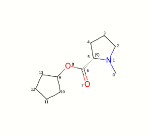 CN1CCC[C@H]1C(=O)OC1CCCC1